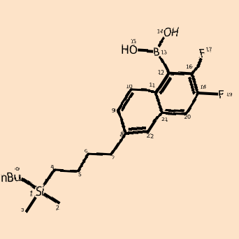 CCCC[Si](C)(C)CCCCc1ccc2c(B(O)O)c(F)c(F)cc2c1